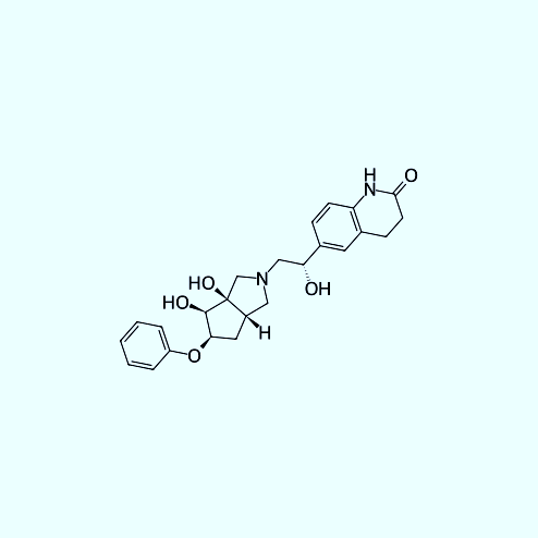 O=C1CCc2cc([C@H](O)CN3C[C@@H]4C[C@@H](Oc5ccccc5)[C@@H](O)[C@]4(O)C3)ccc2N1